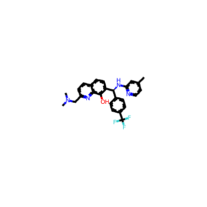 Cc1ccnc(N[C@@H](c2ccc(C(F)(F)F)cc2)c2ccc3ccc(CN(C)C)nc3c2O)c1